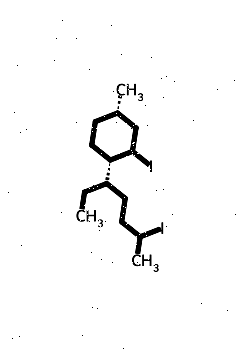 CCC(CCC(C)I)[C@@H]1CC[C@H](C)CC1I